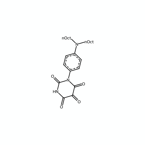 CCCCCCCCN(CCCCCCCC)c1ccc(N2C(=O)NC(=O)C(=O)C2=O)cc1